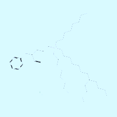 C=CC(CCC[P+](CCCCCCCC)(CCCCCCCC)CCCCCCCC(CCCC)CCCC)Cc1ccccc1.[Cl-]